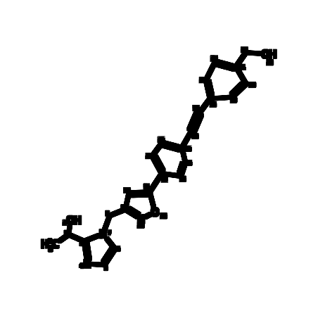 CC(O)c1nccn1Cc1cc(-c2ccc(C#Cc3ccc(CO)cc3)cc2)on1